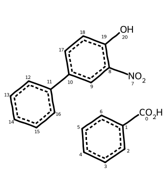 O=C(O)c1ccccc1.O=[N+]([O-])c1cc(-c2ccccc2)ccc1O